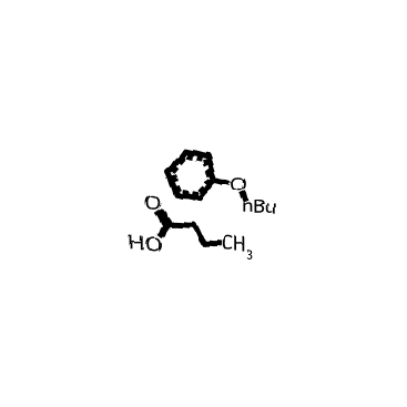 CCCC(=O)O.CCCCOc1ccccc1